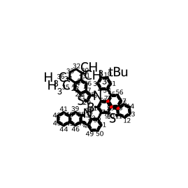 CC(C)(C)c1ccc(N2c3cc4c(sc5ccccc54)c4c3B(c3sc5cc6c(cc5c32)C(C)(C)CCC6(C)C)n2c3cc5ccccc5cc3c3cccc-4c32)c(-c2ccccc2)c1